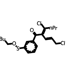 CCC/C(Cl)=C(\C=CCCl)C(=O)c1cccc(SOCC(C)(C)C)c1